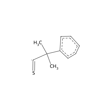 CC(C)([C]=S)c1ccccc1